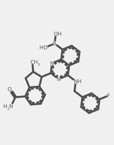 CC1Cc2c(C(N)=O)cccc2C1c1nc(NCc2cccc(F)c2)c2cccc(B(O)O)c2n1